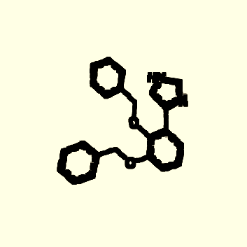 c1ccc(COc2cccc(-c3c[nH]cn3)c2OCc2ccccc2)cc1